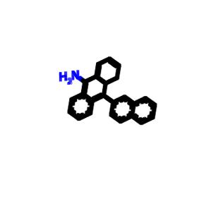 NC1=c2ccccc2=C(c2ccc3ccccc3c2)C2CC=CC=C12